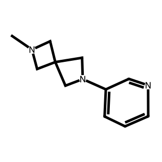 CN1CC2(C1)CN(c1cccnc1)C2